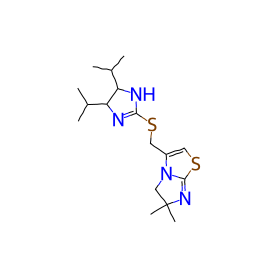 CC(C)C1N=C(SCC2=CSC3=NC(C)(C)CN23)NC1C(C)C